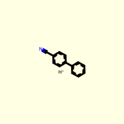 N#Cc1ccc(-c2ccccc2)cc1.[H+]